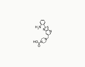 Nc1ccccc1-c1nc2cc(CN3CCN(C(=O)O)CC3)cnc2s1